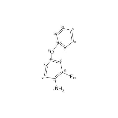 Nc1ccc(Oc2cc[c]cc2)cc1F